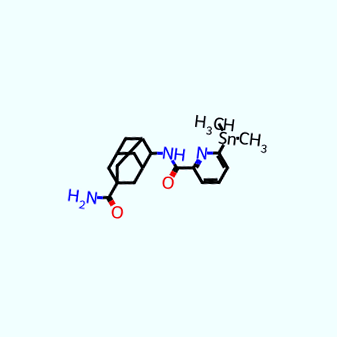 [CH3][SnH]([CH3])[c]1cccc(C(=O)NC2C3CC4CC2CC(C(N)=O)(C4)C3)n1